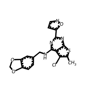 Cc1sc2nc(-c3ccno3)nc(NCc3ccc4c(c3)OCO4)c2c1Cl